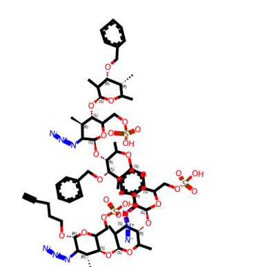 C#CCCCO[C@@H]1OC(COS(=O)(=O)O)[C@@H](O[C@@H]2OC(C)[C@@H](O[C@@H]3OC(COS(=O)(=O)O)[C@@H](O[C@@H]4OC(C)[C@@H](O[C@@H]5OC(COS(=O)(=O)O)[C@@H](O[C@@H]6OC(C)[C@@H](C)[C@@H](OCc7ccccc7)C6C)[C@H](C)C5N=[N+]=[N-])[C@@H](OCc5ccccc5)C4C)[C@H](C)C3N=[N+]=[N-])[C@@H](OCc3ccccc3)C2C)[C@H](C)C1N=[N+]=[N-]